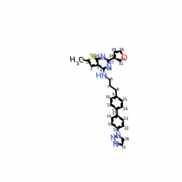 Cc1cc2c(NCCCc3ccc(-c4ccc(-n5ccnn5)cc4)cc3)nc(-c3ccoc3)nc2s1